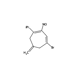 C=C1CC(Br)=CC(N=O)=C(C(C)C)C1